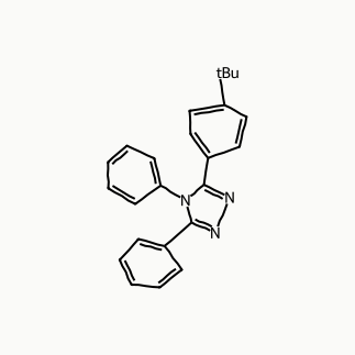 CC(C)(C)c1ccc(-c2nnc(-c3ccccc3)n2-c2ccccc2)cc1